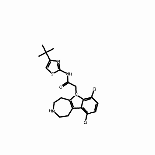 CC(C)(C)c1csc(NC(=O)Cn2c3c(c4c(Cl)ccc(Cl)c42)CCNCC3)n1